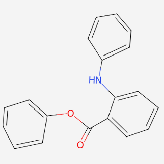 O=C(Oc1ccccc1)c1ccccc1Nc1ccccc1